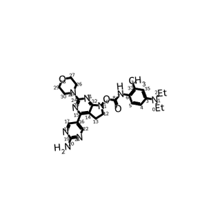 CCN(CC)c1ccc(NC(=O)ON2CCc3c(-c4cnc(N)nc4)nc(N4CCOCC4)nc32)c(C)c1